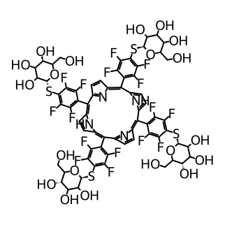 OCC1O[C@@H](Sc2c(F)c(F)c(-c3c4nc(c(-c5c(F)c(F)c(S[C@H]6OC(CO)[C@H](O)C(O)C6O)c(F)c5F)c5ccc([nH]5)c(-c5c(F)c(F)c(S[C@@H]6OC(CO)[C@@H](O)C(O)C6O)c(F)c5F)c5nc(c(-c6c(F)c(F)c(S[C@@H]7OC(CO)[C@@H](O)C(O)C7O)c(F)c6F)c6ccc3[nH]6)C=C5)C=C4)c(F)c2F)C(O)C(O)C1O